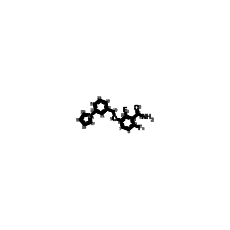 NC(=O)c1c(F)ccc(OCc2cccc(-n3cccc3)c2)c1F